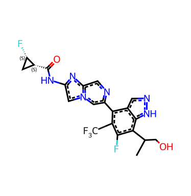 CC(CO)c1c(F)c(C(F)(F)F)c(-c2cn3cc(NC(=O)[C@@H]4C[C@@H]4F)nc3cn2)c2cn[nH]c12